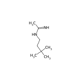 CC(=N)NCCC(C)(C)C